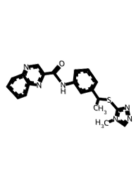 CC(Sc1nncn1C)c1cccc(NC(=O)c2cnc3ccccc3n2)c1